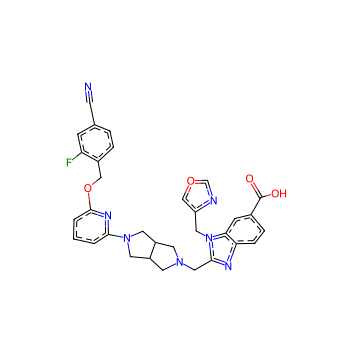 N#Cc1ccc(COc2cccc(N3CC4CN(Cc5nc6ccc(C(=O)O)cc6n5Cc5cocn5)CC4C3)n2)c(F)c1